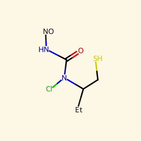 CCC(CS)N(Cl)C(=O)NN=O